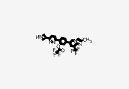 Cc1cn2cc(-c3ccc(-c4ccc(C5CNC5)nn4)c(OC(=O)C(F)(F)F)c3)cc(C(F)(F)F)c2n1